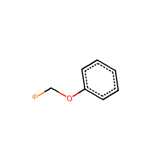 [P]COc1ccccc1